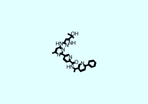 Cc1cc(Nc2cc(C(C)(C)O)[nH]n2)nc(-c2ccc(C(=O)NC(C)c3ccc(-c4ccccc4)nc3)nc2)n1